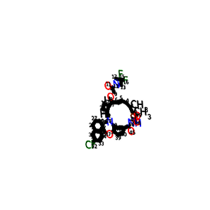 C[C@@H]1[C@@H](C)C/C=C/[C@H](OCC(=O)N2CC(F)(F)C2)[C@@H]2CC[C@H]2CN2C[C@@]3(CCCc4cc(Cl)ccc43)COc3ccc(cc32)C(=O)NS1(=O)=O